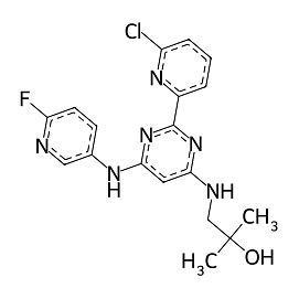 CC(C)(O)CNc1cc(Nc2ccc(F)nc2)nc(-c2cccc(Cl)n2)n1